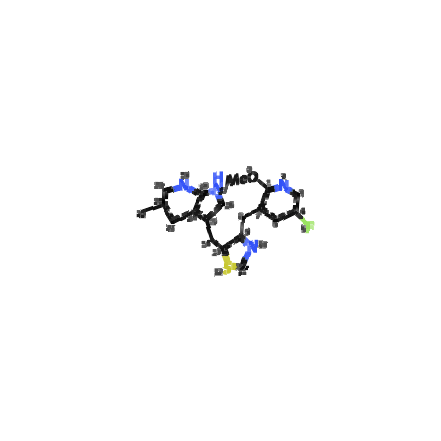 COc1ncc(F)cc1Cc1n[c]sc1Cc1c[nH]c2ncc(C)cc12